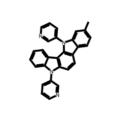 Cc1ccc2c3ccc4c(c5ccccc5n4-c4cccnc4)c3n(-c3cccnc3)c2c1